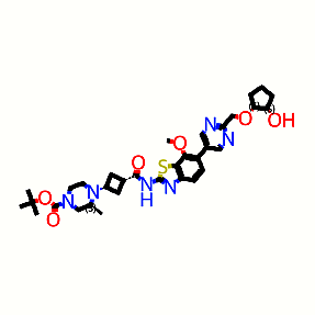 COc1c(-c2cnc(CO[C@H]3CCC[C@@H]3O)nc2)ccc2nc(NC(=O)[C@H]3C[C@@H](N4CCN(C(=O)OC(C)(C)C)C[C@@H]4C)C3)sc12